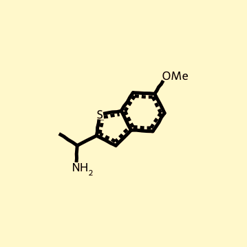 COc1ccc2cc(C(C)N)sc2c1